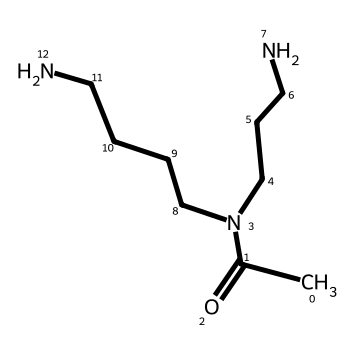 CC(=O)N(CCCN)CCCCN